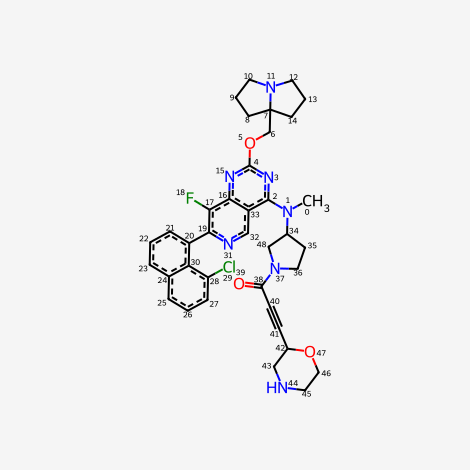 CN(c1nc(OCC23CCCN2CCC3)nc2c(F)c(-c3cccc4cccc(Cl)c34)ncc12)C1CCN(C(=O)C#CC2CNCCO2)C1